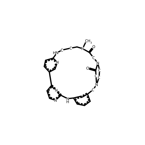 CN1CCCNc2ccc(cn2)-c2ccnc(n2)Nc2cccc(c2)CN2CCN(CC1=O)C(=O)C2